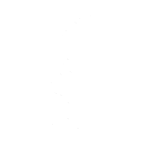 Cn1c(-c2cn(-c3ccc4c(cc(CO)n4CC#N)n3)nc2C(F)(F)F)cnc1C(=O)Nc1ccc(C(=O)N2CCN(C(=O)OC(C)(C)C)CC2)c(Cl)c1